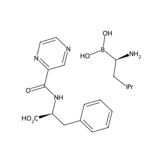 CC(C)C[C@H](N)B(O)O.O=C(N[C@@H](Cc1ccccc1)C(=O)O)c1cnccn1